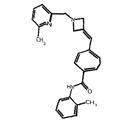 Cc1cccc(CN2CC(=Cc3ccc(C(=O)Nc4ccccc4C)cc3)C2)n1